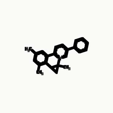 Cc1cc(C)c2c(c1)-c1ccc(-c3ccccc3)c[n+]1C1(C)CC21